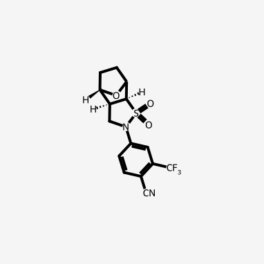 N#Cc1ccc(N2C[C@H]3[C@@H]4CCC(O4)[C@H]3S2(=O)=O)cc1C(F)(F)F